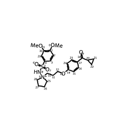 COc1ccc(S(=O)(=O)N[N+]2(CCCOc3ccc(C(=O)C4CC4)cc3)CCCC2)cc1OC